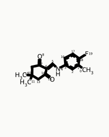 Cc1cc(NC=C2C(=O)CC(C)(C)CC2=O)ccc1F